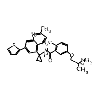 Cc1ccc2c(C3(NC(=O)c4cc(OC[C@H](C)N)ccc4C)CC3)cc(-c3cccs3)cc2n1